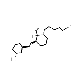 CC(C)CCC[C@@H](C)[C@H]1CC[C@H]2/C(=C/C=C3\CCC[C@H](O)C3)CCC[C@]12C